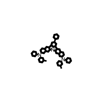 Cc1cccc(N(c2ccccc2)c2ccc3cc4c5cc(-c6ccccc6)cc6c7cc8ccc(N(c9ccccc9)c9cccc(C)c9)cc8cc7n(c4cc3c2)c56)c1